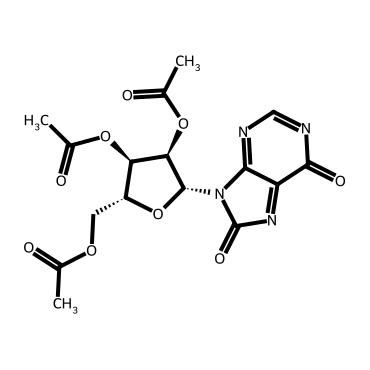 CC(=O)OC[C@H]1O[C@@H](N2C(=O)N=C3C(=O)N=CN=C32)[C@H](OC(C)=O)[C@@H]1OC(C)=O